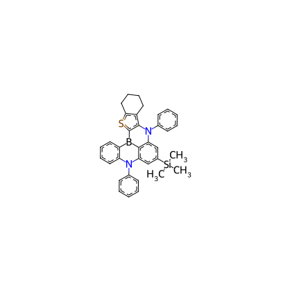 C[Si](C)(C)c1cc2c3c(c1)N(c1ccccc1)c1c(sc4c1CCCC4)B3c1ccccc1N2c1ccccc1